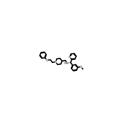 COc1cccc([C@H](NCC2CCN(CCOc3ccccc3)CC2)c2ccccn2)c1